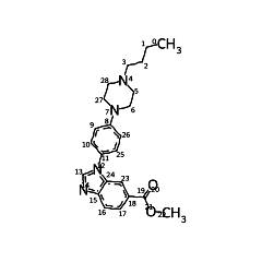 CCCCN1CCN(c2ccc(-n3cnc4ccc(C(=O)OC)cc43)cc2)CC1